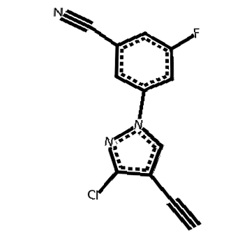 C#Cc1cn(-c2cc(F)cc(C#N)c2)nc1Cl